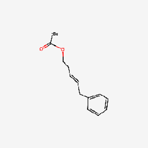 CC(C)(C)C(=O)OCCC=CCc1ccccc1